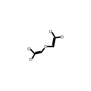 ClC(Cl)=COC=C(Cl)Cl